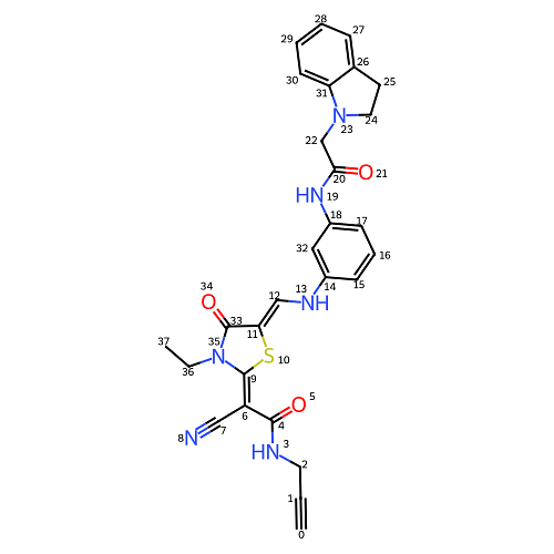 C#CCNC(=O)C(C#N)=c1sc(=CNc2cccc(NC(=O)CN3CCc4ccccc43)c2)c(=O)n1CC